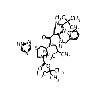 CC(C)CN(C(=O)c1cnc(C(C)(C)C)nc1NCc1ccco1)[C@H]1C[C@@H](c2nc[nH]n2)CN(C(=O)OC(C)(C)C)C1